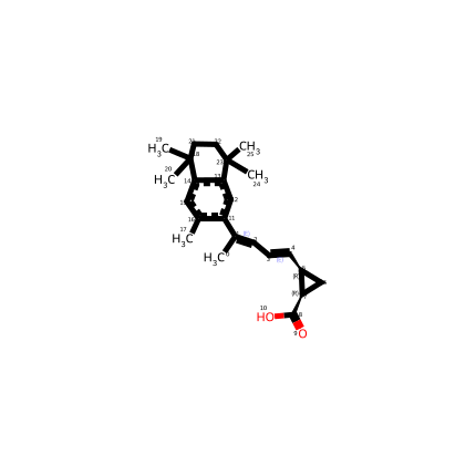 C/C(=C\C=C\[C@H]1C[C@H]1C(=O)O)c1cc2c(cc1C)C(C)(C)CCC2(C)C